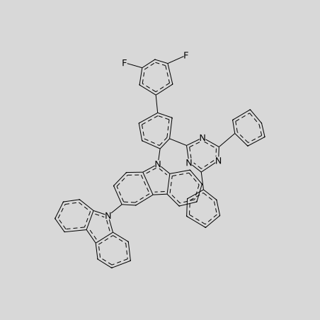 Fc1cc(F)cc(-c2ccc(-n3c4ccccc4c4cc(-n5c6ccccc6c6ccccc65)ccc43)c(-c3nc(-c4ccccc4)nc(-c4ccccc4)n3)c2)c1